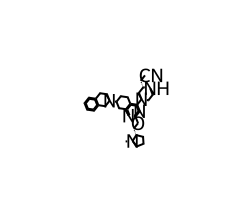 CN1CCC[C@H]1COc1nc2c(c(N3CCN[C@@H](CC#N)C3)n1)CCC(N1CCc3ccccc3C1)C2